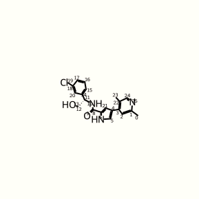 Cc1cc(-c2c[nH]c(C(=O)N[C@H](CO)c3cccc(Cl)c3)c2)c(C)cn1